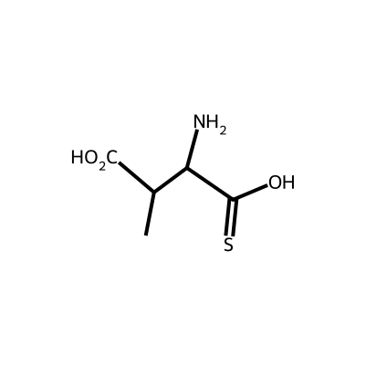 CC(C(=O)O)C(N)C(O)=S